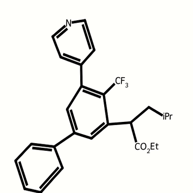 CCOC(=O)C(CC(C)C)c1cc(-c2ccccc2)cc(-c2ccncc2)c1C(F)(F)F